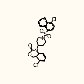 O=C1OCC2C(Cl)=CC=CC2N1C1CCN(S(=O)(=O)c2ccc(Cl)c3ccccc23)CC1